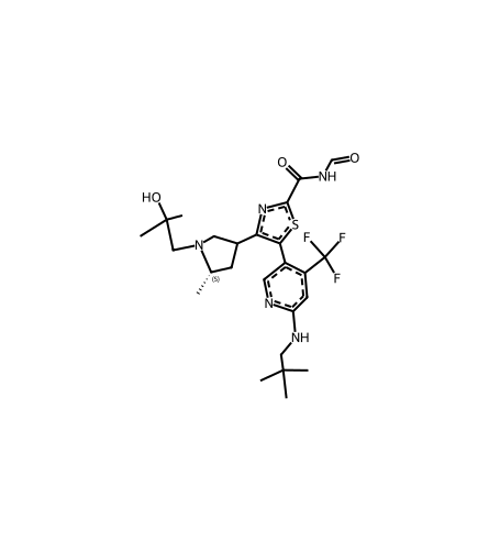 C[C@H]1CC(c2nc(C(=O)NC=O)sc2-c2cnc(NCC(C)(C)C)cc2C(F)(F)F)CN1CC(C)(C)O